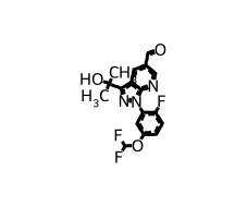 CC(C)(O)c1nn(-c2cc(OC(F)F)ccc2F)c2ncc(C=O)cc12